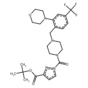 CC(C)(C)OC(=O)c1ccn(C(=O)N2CCN(Cc3ccc(C(F)(F)F)cc3N3CCOCC3)CC2)n1